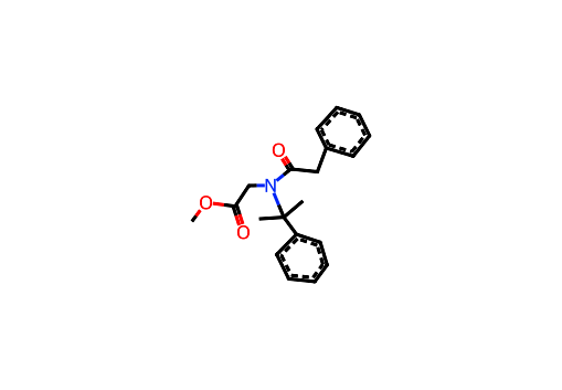 COC(=O)CN(C(=O)Cc1ccccc1)C(C)(C)c1ccccc1